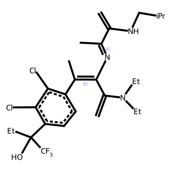 C=C(NCC(C)C)/C(C)=N/C(C(=C)N(CC)CC)=C(\C)c1ccc(C(O)(CC)C(F)(F)F)c(Cl)c1Cl